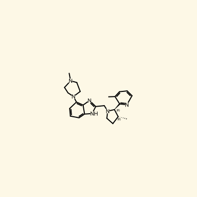 Cc1cccnc1[C@H]1[C@H](C)CCN1Cc1nc2c(N3CCN(C)CC3)cccc2[nH]1